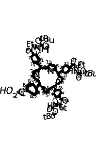 CCN(NC(=O)OC(C)(C)C)C(=O)c1ccc(C2=C3C=CC(=N3)C(c3ccc(C(=O)N(CC)NC(=O)OC(C)(C)C)cc3)=C3C=CC(=N3)C(c3ccc(C(=O)N(CC)NC(=O)OC(C)(C)C)cc3)=C3C=CC(=N3)C(c3ccc(C(=O)O)cc3)=C3C=CC2=N3)cc1